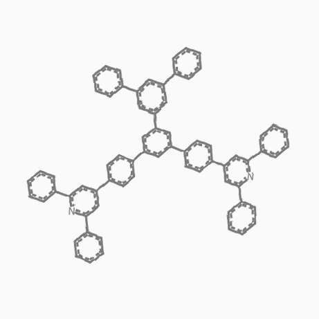 c1ccc(-c2cc(-c3ccccc3)cc(-c3cc(-c4ccc(-c5cc(-c6ccccc6)nc(-c6ccccc6)c5)cc4)cc(-c4ccc(-c5cc(-c6ccccc6)nc(-c6ccccc6)c5)cc4)c3)c2)cc1